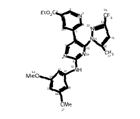 CCOC(=O)c1cncc(-c2cnc(Nc3cc(OC)cc(OC)c3)nc2-n2nc(C(F)(F)F)cc2C)c1